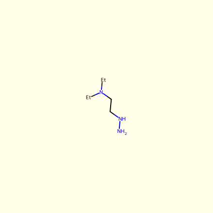 CCN(CC)CCNN